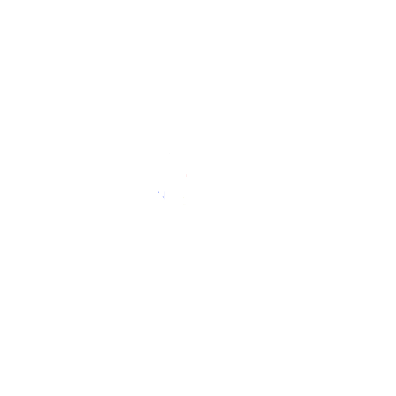 Cc1ccccc1CN(CC1CCCCC1)S(=O)(=O)c1ccccc1